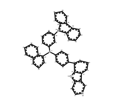 c1cc(N(c2ccc(-c3cccc4c3oc3ccncc34)cc2)c2cccc3ccccc23)cc(-n2c3ccccc3c3ccccc32)c1